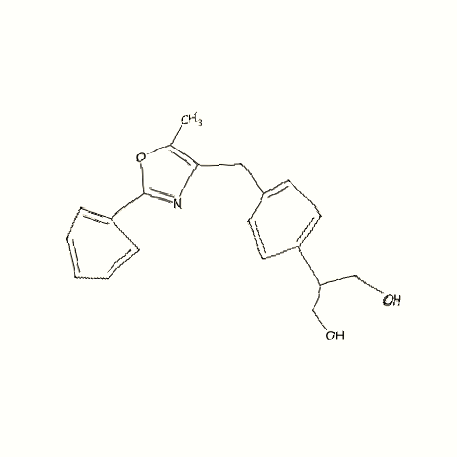 Cc1oc(-c2ccccc2)nc1Cc1ccc(C(CO)CO)cc1